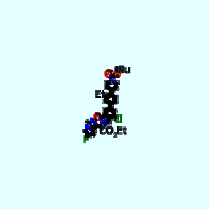 CCOC(=O)C(c1ncn2c1C[C@@H](F)C2)N1Cc2c(Cl)cc(-c3ccc(C4CCN(C(=O)OC(C)(C)C)CC4)c(CC)c3)cc2C1=O